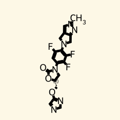 Cn1cc2c(n1)CN(c1c(F)cc(N3C[C@H](COC4=NCN=C4)OC3=O)c(F)c1F)C2